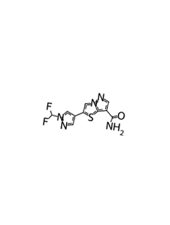 NC(=O)c1cnn2cc(-c3cnn(C(F)F)c3)sc12